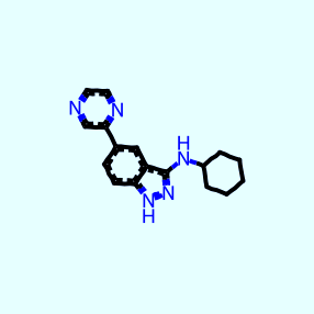 c1cnc(-c2ccc3[nH]nc(NC4CCCCC4)c3c2)cn1